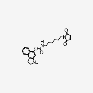 CN1CCc2c1cc(OC(=O)NCCCCCCN1C(=O)C=CC1=O)c1ccccc21